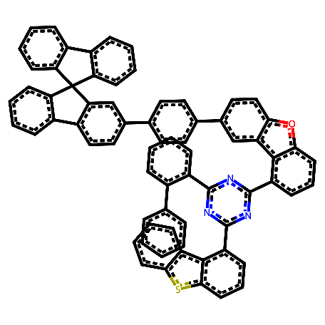 c1ccc(-c2ccccc2-c2nc(-c3cccc4oc5ccc(-c6ccc(-c7ccc8c(c7)C7(c9ccccc9-c9ccccc97)c7ccccc7-8)cc6)cc5c34)nc(-c3cccc4sc5ccccc5c34)n2)cc1